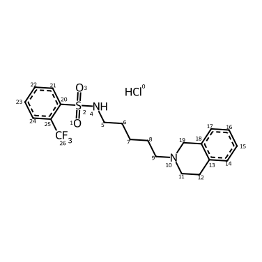 Cl.O=S(=O)(NCCCCCN1CCc2ccccc2C1)c1ccccc1C(F)(F)F